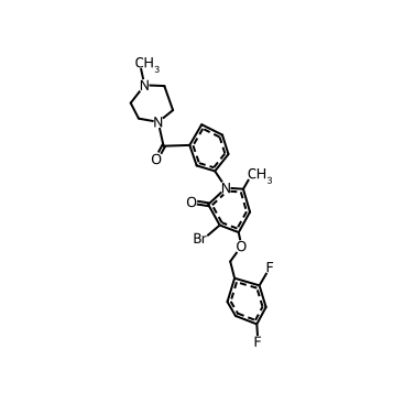 Cc1cc(OCc2ccc(F)cc2F)c(Br)c(=O)n1-c1cccc(C(=O)N2CCN(C)CC2)c1